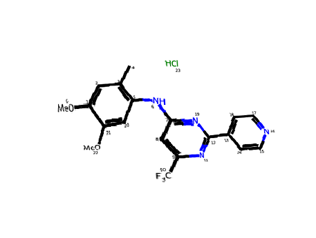 COc1cc(C)c(Nc2cc(C(F)(F)F)nc(-c3ccncc3)n2)cc1OC.Cl